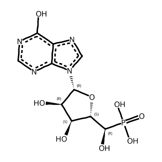 O=P(O)(O)[C@@H](O)[C@H]1O[C@@H](n2cnc3c(O)ncnc32)[C@H](O)[C@@H]1O